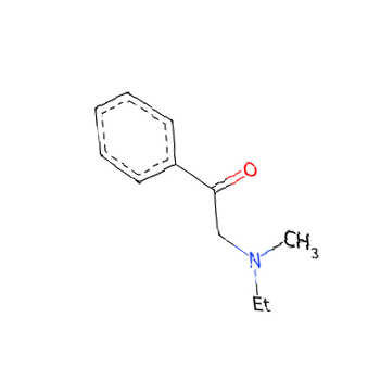 [CH2]CN(C)CC(=O)c1ccccc1